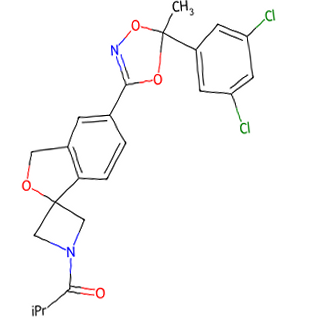 CC(C)C(=O)N1CC2(C1)OCc1cc(C3=NOC(C)(c4cc(Cl)cc(Cl)c4)O3)ccc12